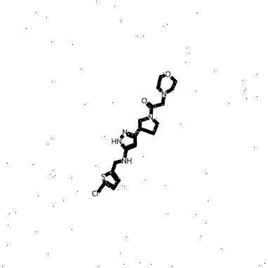 O=C(CN1CCOCC1)N1CCC(c2cc(NCc3ccc(Cl)s3)[nH]n2)C1